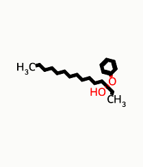 CCCCCCCCCCCCC(O)(CC)Oc1ccccc1